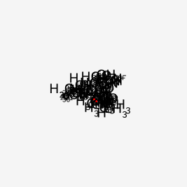 CC[C@H](C)[C@@H](C(CC(=O)N1CCC[C@H]1C(OC)[C@@H](C)C(=O)N[C@H](C)C(O)c1ccccc1)OC)N(C)C(=O)[C@@H](NC(=O)[C@H](C(C)C)N(C)C(=O)OCc1ccc(O[C@@H]2O[C@H](C(=O)O)[C@@H](O)[C@H](O)[C@H]2O)c2cc(CN=[N+]=[N-])oc12)C(C)C